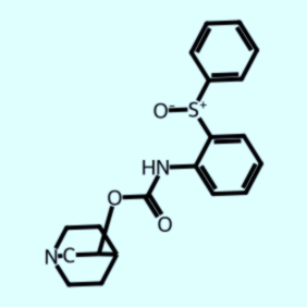 O=C(Nc1ccccc1[S+]([O-])c1ccccc1)OC1CN2CCC1CC2